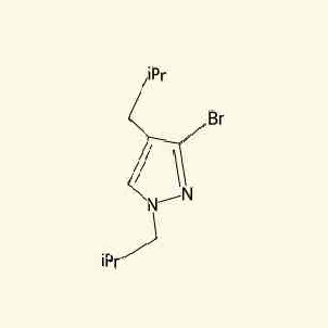 CC(C)Cc1cn(CC(C)C)nc1Br